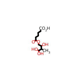 CC(C(O)O)C(O)COC(=O)CCCCC(=O)O